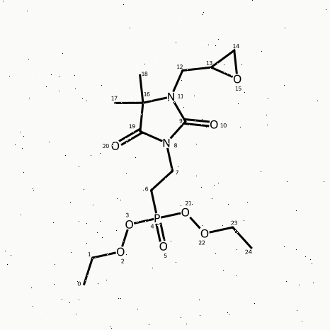 CCOOP(=O)(CCN1C(=O)N(CC2CO2)C(C)(C)C1=O)OOCC